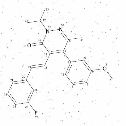 COc1cccc(-c2c(C)nn(C(C)C)c(=O)c2/C=C/c2cccc(F)c2)c1